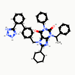 CC(c1ccccc1)n1c(=O)n(-c2ccccc2)c(=O)c2c1nc(C1CCCCC1)n2Cc1ccc(-c2ccccc2-c2nnn[nH]2)cc1